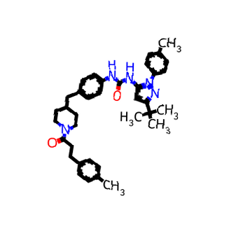 Cc1ccc(CCC(=O)N2CCC(Cc3ccc(NC(=O)Nc4cc(C(C)(C)C)nn4-c4ccc(C)cc4)cc3)CC2)cc1